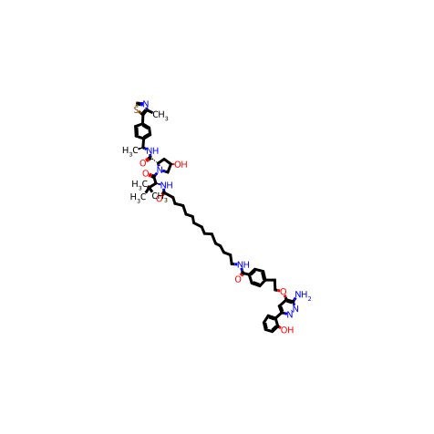 Cc1ncsc1-c1ccc([C@H](C)NC(=O)[C@@H]2C[C@@H](O)CN2C(=O)[C@@H](NC(=O)CCCCCCCCCCCCCCNC(=O)c2ccc(CCOc3cc(-c4ccccc4O)nnc3N)cc2)C(C)(C)C)cc1